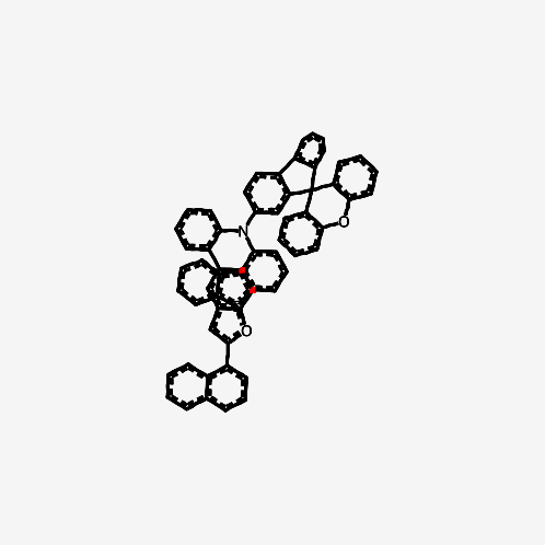 c1ccc2c(c1)Oc1ccccc1C21c2ccccc2-c2ccc(N(c3ccccc3-c3ccc4oc(-c5cccc6ccccc56)cc4c3)c3cccc4sc5ccccc5c34)cc21